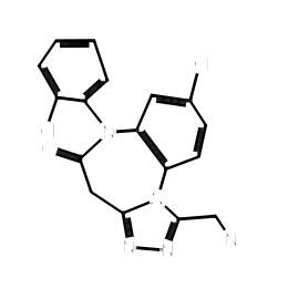 NCc1nnc2n1-c1ccc(C(F)(F)F)cc1N(c1ccccc1Cl)C(=O)C2